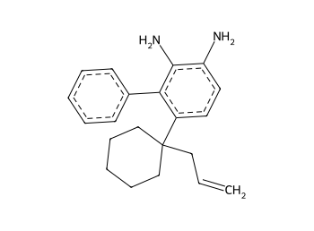 C=CCC1(c2ccc(N)c(N)c2-c2ccccc2)CCCCC1